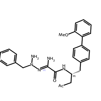 COc1ccccc1-c1ccc(C[C@H](CC(C)=O)NC(=O)/C(N)=N/N(N)Cc2ccccc2)cc1